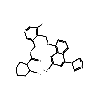 Cc1cc(-n2ccnc2)c2cccc(OCc3c(Cl)cncc3CNC(=O)C3CCCCC3C)c2n1